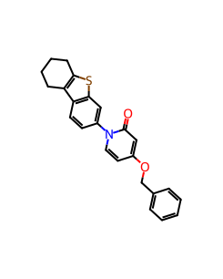 O=c1cc(OCc2ccccc2)ccn1-c1ccc2c3c(sc2c1)CCCC3